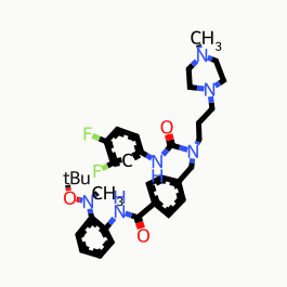 CN1CCN(CCCN(Cc2ccc(C(=O)Nc3ccccc3N(C)OC(C)(C)C)cc2)C(=O)Nc2ccc(F)c(F)c2)CC1